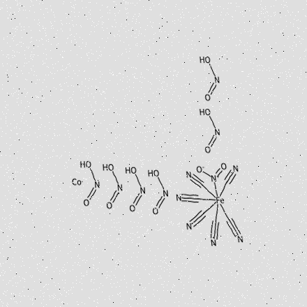 N#[C][Fe]([C]#N)([C]#N)([C]#N)([C]#N)([C]#N)[N+](=O)[O-].O=NO.O=NO.O=NO.O=NO.O=NO.O=NO.[Co]